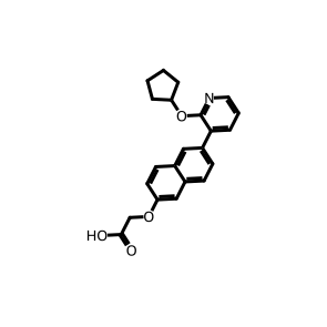 O=C(O)COc1ccc2cc(-c3cccnc3OC3CCCC3)ccc2c1